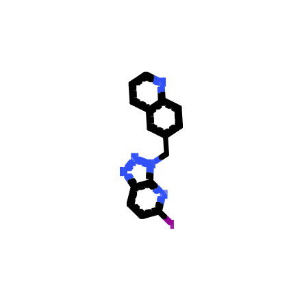 Ic1ccc2nnn(Cc3ccc4ncccc4c3)c2n1